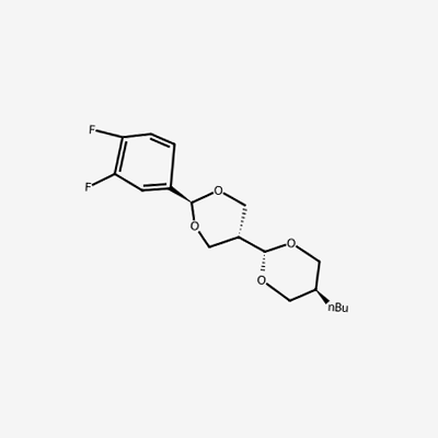 CCCC[C@H]1CO[C@H]([C@H]2CO[C@H](c3ccc(F)c(F)c3)OC2)OC1